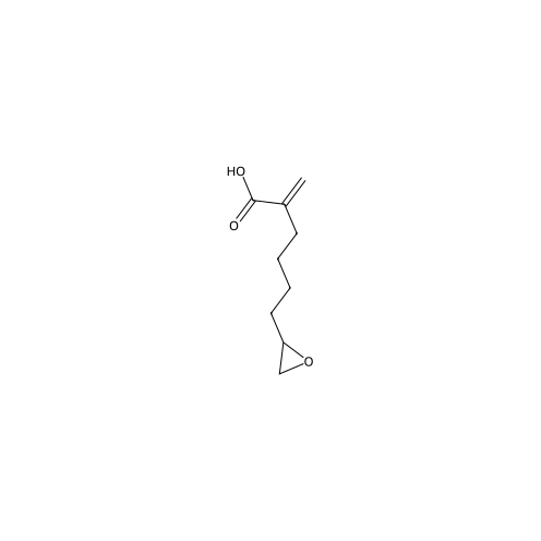 C=C(CCCCC1CO1)C(=O)O